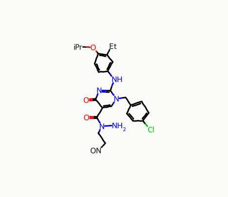 CCc1cc(Nc2nc(=O)c(C(=O)N(N)CCN=O)cn2Cc2ccc(Cl)cc2)ccc1OC(C)C